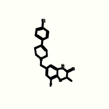 CC1Oc2c(F)cc(CN3CC=C(c4ccc(Cl)cc4)CC3)cc2NC1=O